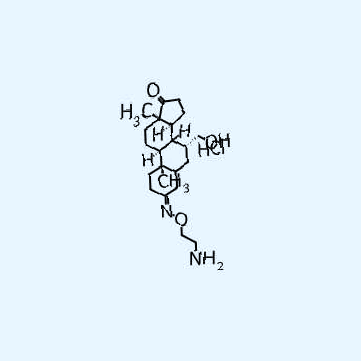 C[C@]12CC/C(=N/OCCN)CC1C[C@@H](CO)[C@@H]1[C@@H]2CC[C@]2(C)C(=O)CC[C@@H]12.Cl